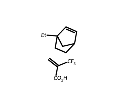 C=C(C(=O)O)C(F)(F)F.CCC12C=CC(CC1)C2